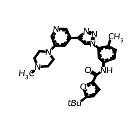 Cc1ccc(NC(=O)c2ccc(C(C)(C)C)o2)cc1-n1cc(-c2cncc(N3CCN(C)CC3)c2)nn1